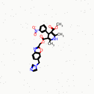 COC(=O)C1=C(C)NC(C)=C(C(=O)OCc2nc3ccc(Cn4ccnc4)cc3o2)C1c1cccc([N+](=O)[O-])c1